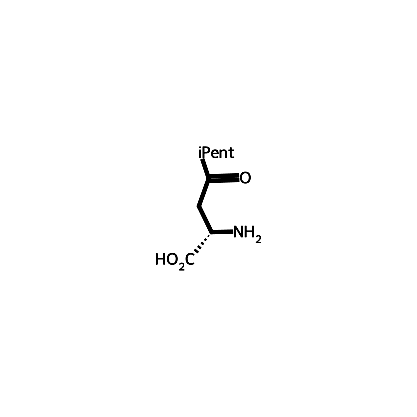 CCCC(C)C(=O)C[C@H](N)C(=O)O